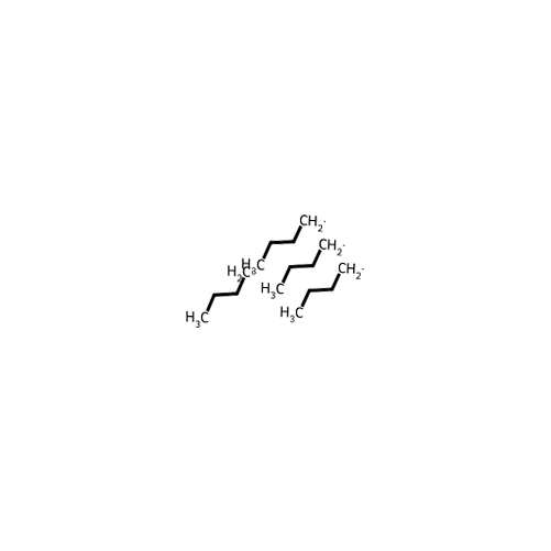 [CH2]CCC.[CH2]CCC.[CH2]CCC.[CH2]CCC